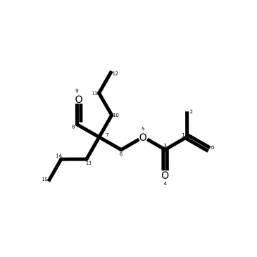 C=C(C)C(=O)OCC(C=O)(CCC)CCC